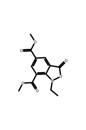 CCn1oc(=O)c2cc(C(=O)OC)cc(C(=O)OC)c21